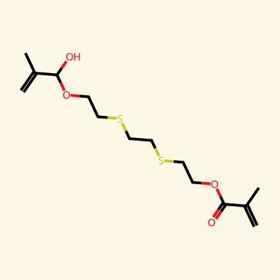 C=C(C)C(=O)OCCSCCSCCOC(O)C(=C)C